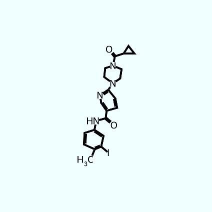 Cc1ccc(NC(=O)c2ccc(N3CCN(C(=O)C4CC4)CC3)nc2)cc1I